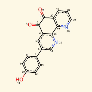 O=C1C(=O)c2cc(-c3ccc(O)cc3)cnc2-c2ncccc21